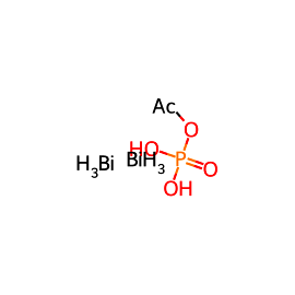 CC(=O)OP(=O)(O)O.[BiH3].[BiH3]